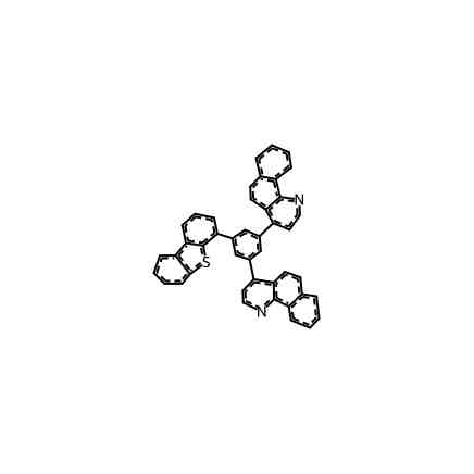 c1ccc2c(c1)ccc1c(-c3cc(-c4ccnc5c4ccc4ccccc45)cc(-c4cccc5c4sc4ccccc45)c3)ccnc12